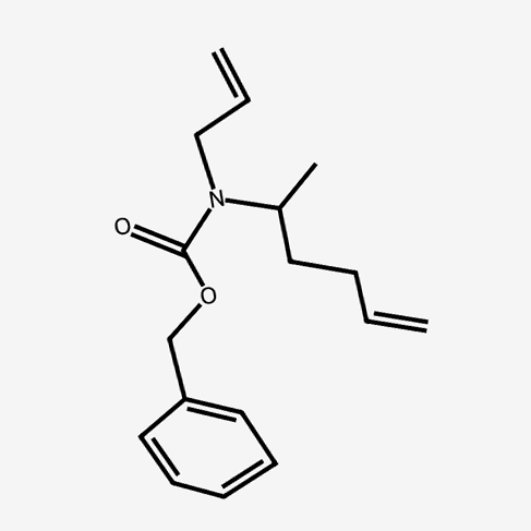 C=CCCC(C)N(CC=C)C(=O)OCc1ccccc1